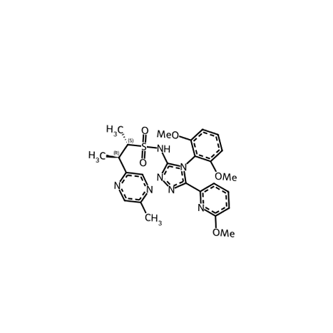 COc1cccc(-c2nnc(NS(=O)(=O)[C@@H](C)[C@H](C)c3cnc(C)cn3)n2-c2c(OC)cccc2OC)n1